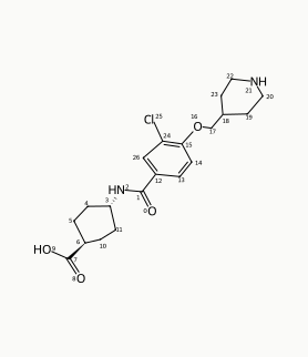 O=C(N[C@H]1CC[C@H](C(=O)O)CC1)c1ccc(OCC2CCNCC2)c(Cl)c1